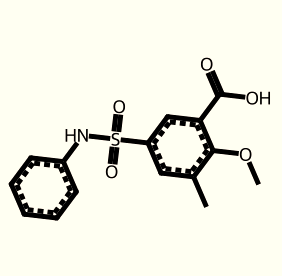 COc1c(C)cc(S(=O)(=O)Nc2ccccc2)cc1C(=O)O